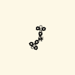 c1ccc2c(c1)Oc1ccccc1N2c1ccc(-c2cn(-c3ccc(N4c5ccccc5Oc5ccccc54)cc3)nn2)cc1